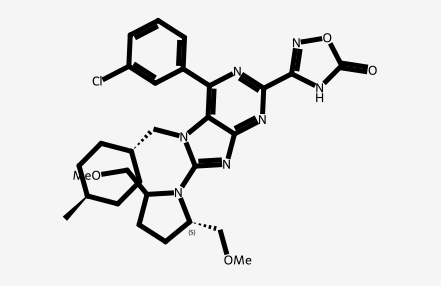 COCC1CC[C@@H](COC)N1c1nc2nc(-c3noc(=O)[nH]3)nc(-c3cccc(Cl)c3)c2n1C[C@H]1CC[C@H](C)CC1